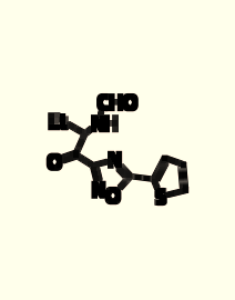 CCC(NC=O)C(=O)c1noc(-c2cccs2)n1